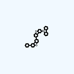 c1ccc(-c2ccc3sc4ccc(-c5ccc6sc7ccc(-n8c9ccccc9c9ccccc98)cc7c6c5)cc4c3c2)cc1